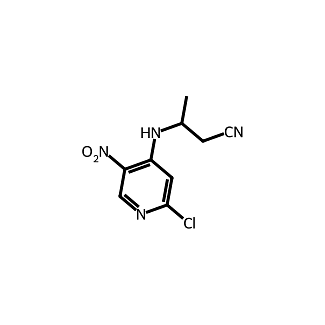 CC(CC#N)Nc1cc(Cl)ncc1[N+](=O)[O-]